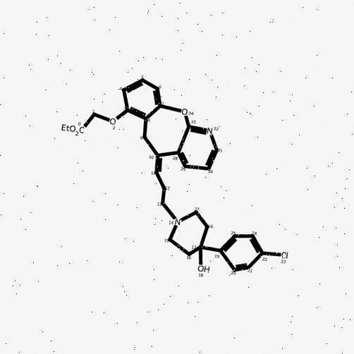 CCOC(=O)COc1cccc2c1C/C(=C/CCN1CCC(O)(c3ccc(Cl)cc3)CC1)c1cccnc1O2